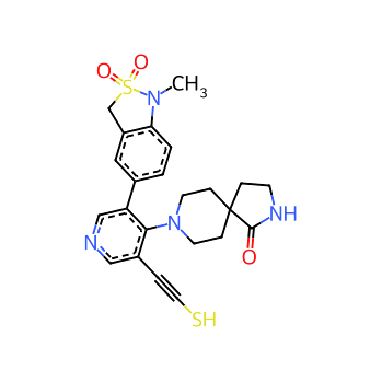 CN1c2ccc(-c3cncc(C#CS)c3N3CCC4(CCNC4=O)CC3)cc2CS1(=O)=O